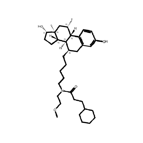 COCCN(CCCCC[C@@H]1Cc2cc(O)ccc2[C@@H]2[C@@H]1[C@@H]1CC[C@H](O)[C@@]1(C)C[C@@H]2F)C(=O)CCC1CCCCC1